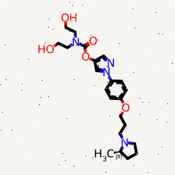 C[C@@H]1CCCN1CCCOc1ccc(-n2cc(OC(=O)N(CCO)CCO)cn2)cc1